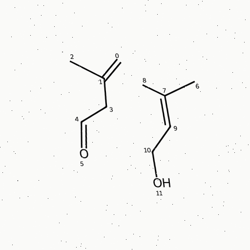 C=C(C)CC=O.CC(C)=CCO